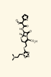 CN(C)CCn1nnnc1SCC1=C(C(=O)O)N2C(=O)C(NC(=O)C(=S=O)c3cccs3)[C@H]2SC1